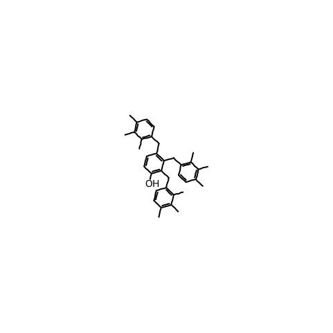 Cc1ccc(Cc2ccc(O)c(Cc3ccc(C)c(C)c3C)c2Cc2ccc(C)c(C)c2C)c(C)c1C